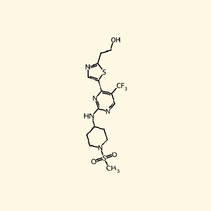 CS(=O)(=O)N1CCC(Nc2ncc(C(F)(F)F)c(-c3cnc(CCO)s3)n2)CC1